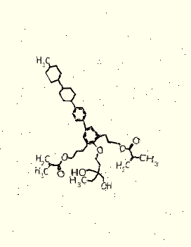 C=C(C)C(=O)OCCCc1cc(-c2ccc(C3CCC(C4CCC(C)CC4)CC3)cc2)cc(CCCOC(=O)C(=C)C)c1OCCC(CC)(CO)CO